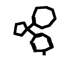 C1=CNN=NC(C2(C3=CCCCCCC3)CCCC2)=C1